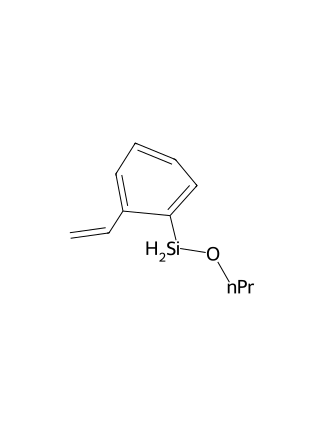 C=Cc1ccccc1[SiH2]OCCC